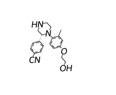 Cc1cc(OCCO)ccc1N1CCNC[C@H]1c1ccc(C#N)cc1